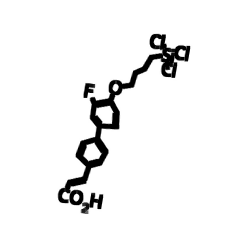 O=C(O)C=Cc1ccc(-c2ccc(OCCCC[Si](Cl)(Cl)Cl)c(F)c2)cc1